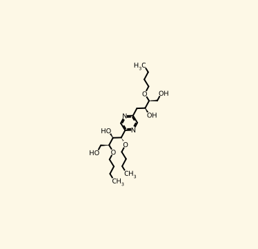 CCCCO[C@@H](CO)[C@@H](O)[C@@H](OCCCC)c1cnc(C[C@H](O)[C@H](CO)OCCCC)cn1